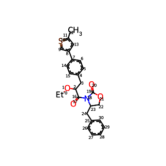 CCOC(Cc1ccc(-c2csc(C)c2)cc1)C(=O)N1C(=O)OCC1Cc1ccccc1